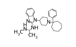 CNC(C)Nc1nc2ccccc2n1C1CCN(C2(c3ccccc3)CCCCCC2)CC1